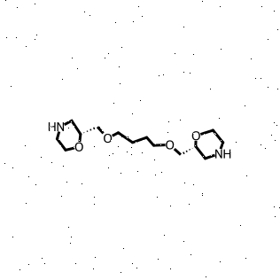 C(CCOC[C@H]1CNCCO1)COC[C@H]1CNCCO1